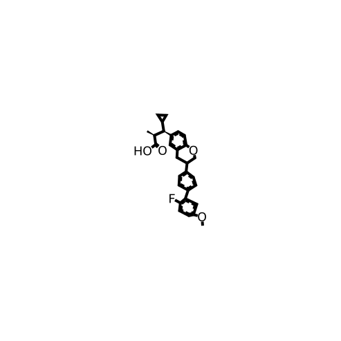 COc1ccc(F)c(-c2ccc(C3COc4ccc([C@H](C5CC5)[C@H](C)C(=O)O)cc4C3)cc2)c1